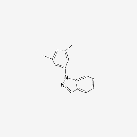 Cc1cc(C)cc(-n2ncc3ccccc32)c1